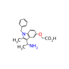 Cc1c(C(C)N)c2cc(OCC(=O)O)ccc2n1Cc1ccccc1